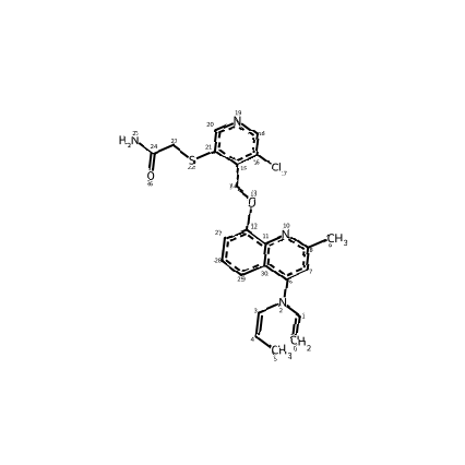 C=CN(/C=C\C)c1cc(C)nc2c(OCc3c(Cl)cncc3SCC(N)=O)cccc12